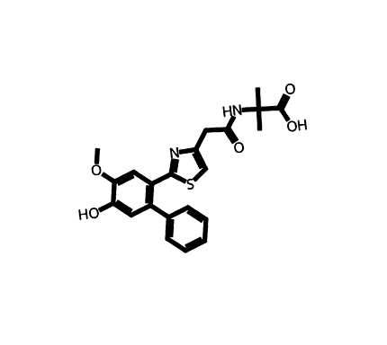 COc1cc(-c2nc(CC(=O)NC(C)(C)C(=O)O)cs2)c(-c2ccccc2)cc1O